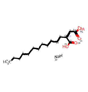 CCCCCCCCCCCC/C(=C/C(=O)O)C(=O)O.[NaH]